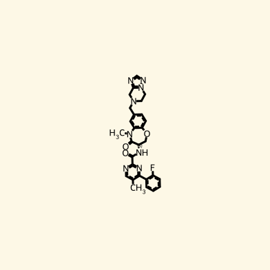 Cc1cnc(C(=O)N[C@H]2COc3ccc(CN4CCn5ncnc5C4)cc3N(C)C2=O)nc1-c1ccccc1F